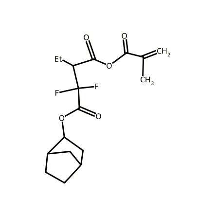 C=C(C)C(=O)OC(=O)C(CC)C(F)(F)C(=O)OC1CC2CCC1C2